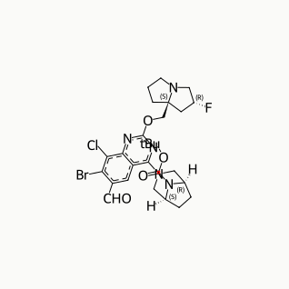 CC(C)(C)OC(=O)N1[C@@H]2CC[C@H]1CN(c1nc(OC[C@@]34CCCN3C[C@H](F)C4)nc3c(Cl)c(Br)c(C=O)cc13)C2